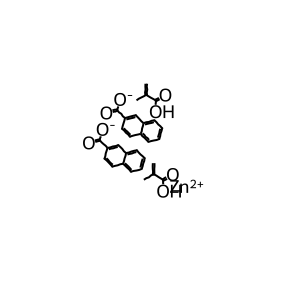 C=C(C)C(=O)O.C=C(C)C(=O)O.O=C([O-])c1ccc2ccccc2c1.O=C([O-])c1ccc2ccccc2c1.[Zn+2]